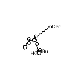 CCCCCCCCCCCCCCCCCCOc1cc(OCCCP(=O)(O)OC(C)CC)cc(C(=O)OCc2ccccc2)c1